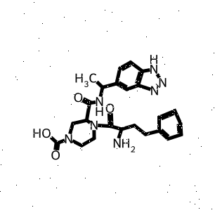 CC(NC(=O)C1CN(C(=O)O)CCN1C(=O)C(N)CCc1ccccc1)c1ccc2[nH]nnc2c1